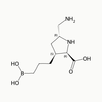 NC[C@H]1C[C@H](CCCB(O)O)[C@H](C(=O)O)N1